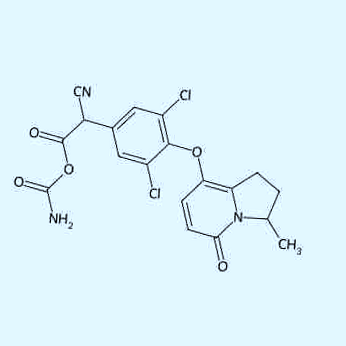 CC1CCc2c(Oc3c(Cl)cc(C(C#N)C(=O)OC(N)=O)cc3Cl)ccc(=O)n21